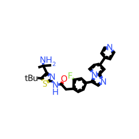 CC(C)(C)c1sc(NC(=O)Cc2ccc(-c3cnc4cc(-c5ccncc5)ccn34)cc2F)nc1C(C)(C)N